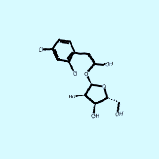 OC[C@H]1O[C@H](OC(O)Cc2ccc(Cl)cc2Cl)[C@H](O)[C@@H]1O